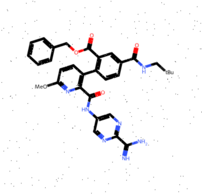 COc1ccc(-c2ccc(C(=O)NCC(C)(C)C)cc2C(=O)OCc2ccccc2)c(C(=O)Nc2cnc(C(=N)N)nc2)n1